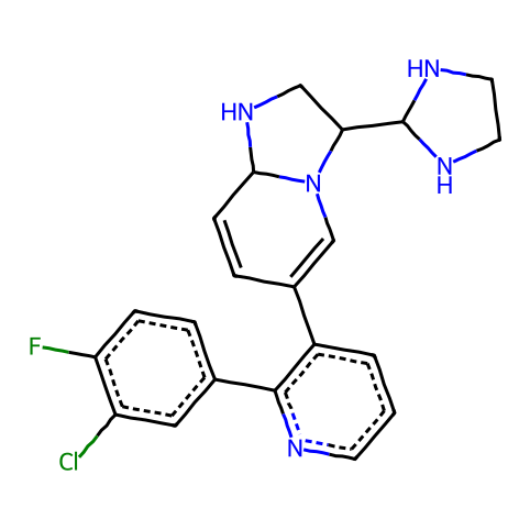 Fc1ccc(-c2ncccc2C2=CN3C(C=C2)NCC3C2NCCN2)cc1Cl